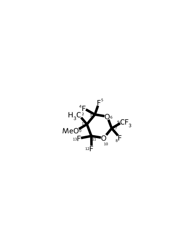 COC1(C)C(F)(F)OC(F)(C(F)(F)F)OC1(F)F